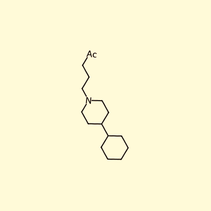 CC(=O)CCCN1CCC(C2CCCCC2)CC1